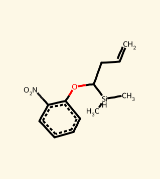 C=CCC(Oc1ccccc1[N+](=O)[O-])[SiH](C)C